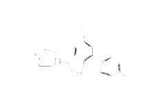 Fc1ccc(-c2cc(F)cc3c2CCC3N2CCNCC2)cc1